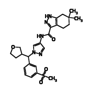 CC1(C)CCc2c(C(=O)Nc3cnn(C(c4cccc(S(C)(=O)=O)c4)C4CCOC4)c3)n[nH]c2C1